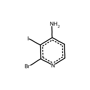 Nc1ccnc(Br)c1I